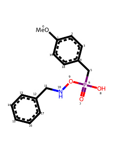 COc1ccc(CP(=O)(O)ONCc2ccccc2)cc1